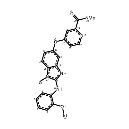 CCOc1ccccc1Nc1nc2cc(Oc3ccnc(C(=O)NC)c3)ccc2n1C